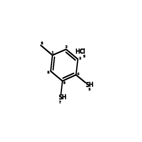 Cc1ccc(S)c(S)c1.Cl